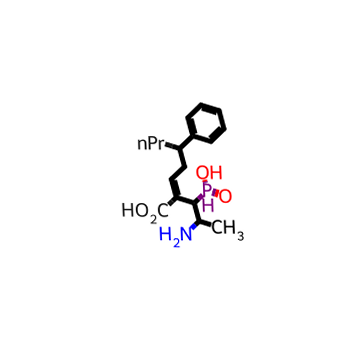 CCCC(CC=C(C(=O)O)C(C(C)N)[PH](=O)O)c1ccccc1